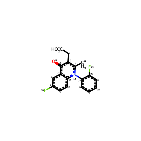 Cc1c(CC(=O)O)c(=O)c2cc(F)ccc2n1-c1ccccc1F